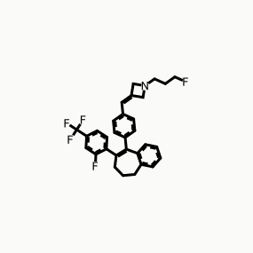 FCCCN1CC(=Cc2ccc(C3=C(c4ccc(C(F)(F)F)cc4F)CCCc4ccccc43)cc2)C1